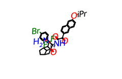 CC(C)Oc1ccc2cc(C(=O)C(=O)N[C@H](C(=O)C3C4CCC(CN)C3CC4)C(F)(F)c3ccc(Br)cc3)ccc2c1